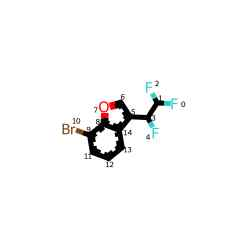 FC(F)C(F)c1coc2c(Br)cccc12